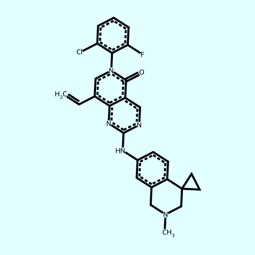 C=Cc1cn(-c2c(F)cccc2Cl)c(=O)c2cnc(Nc3ccc4c(c3)CN(C)CC43CC3)nc12